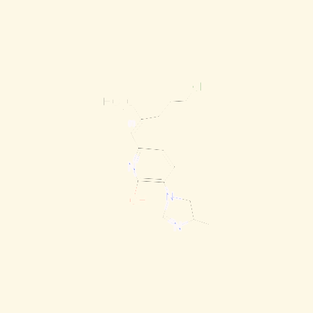 CC1CN(c2ccc(/C=C(\CCCCl)C(=O)O)nc2O)C=N1